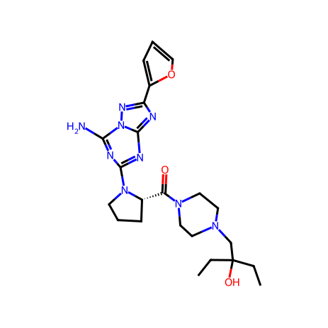 CCC(O)(CC)CN1CCN(C(=O)[C@@H]2CCCN2c2nc(N)n3nc(-c4ccco4)nc3n2)CC1